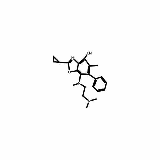 Cc1c(-c2ccccc2)c(N(C)CCN(C)C)c2oc(C3CC3)nc2c1C#N